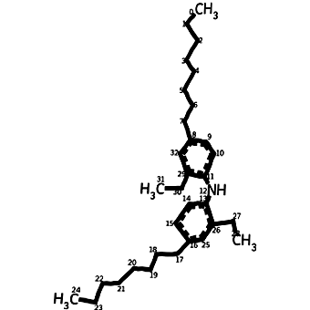 CCCCCCCCc1ccc(Nc2ccc(CCCCCCCC)cc2CC)c(CC)c1